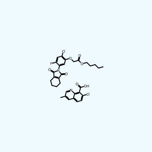 CCCCCOC(=O)COc1cc(N2C(=O)C3=C(CCCC3)C2=O)c(F)cc1Cl.Cc1cnc2c(C(=O)O)c(Cl)ccc2c1